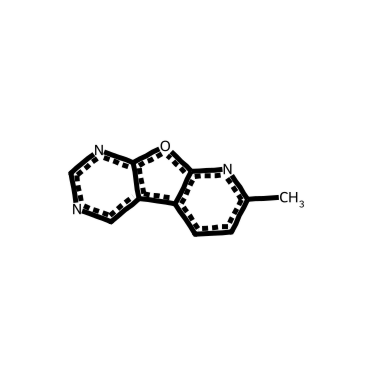 Cc1ccc2c(n1)oc1ncncc12